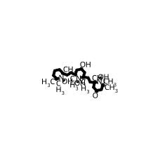 CC1(C)CCCC(C)(CCC2(C)CC(O)CC(C)(CCC3(C)CC(=O)CC(C)(C)N3O)N2O)N1O